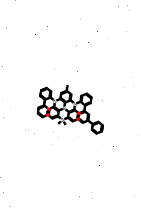 Cc1cc2c3c(c1)N(c1ccccc1-c1cc(-c4ccccc4)ccn1)c1cccc4c1B3c1c(cccc1[Si]4(C)C)N2c1ccccc1-c1ccccn1